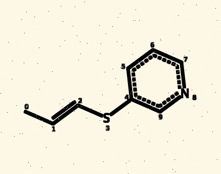 CC=CSc1cccnc1